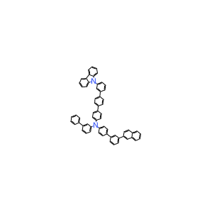 c1ccc(-c2cccc(N(c3ccc(-c4ccc(-c5cccc(-n6c7ccccc7c7ccccc76)c5)cc4)cc3)c3ccc(-c4cccc(-c5ccc6ccccc6c5)c4)cc3)c2)cc1